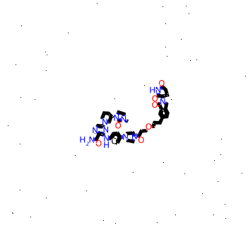 CN1CCN([C@@H]2CCCN(c3cnc(C(N)=O)c(Nc4ccc(N5CCN(C(=O)CCOCCCc6ccc7c(c6)C(=O)N(C6CCC(=O)NC6=O)C7)CC5)cc4)n3)C2)C1=O